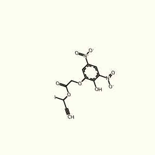 C#CC(I)OC(=O)COc1cc([N+](=O)[O-])cc([N+](=O)[O-])c1O